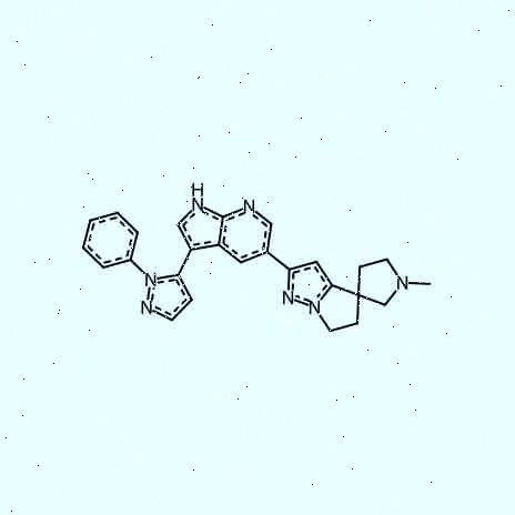 CN1CCC2(CCn3nc(-c4cnc5[nH]cc(-c6ccnn6-c6ccccc6)c5c4)cc32)C1